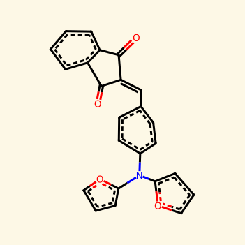 O=C1C(=Cc2ccc(N(c3ccco3)c3ccco3)cc2)C(=O)c2ccccc21